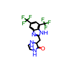 O=C1NCCNC1Cc1nc2cc(C(F)(F)F)cc(C(F)(F)F)c2[nH]1